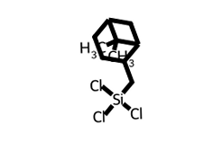 CC1(C)C2CCC(C[Si](Cl)(Cl)Cl)C1C2